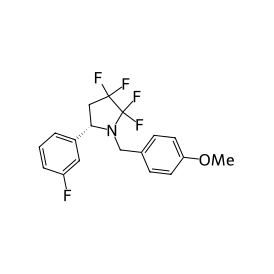 COc1ccc(CN2[C@H](c3cccc(F)c3)CC(F)(F)C2(F)F)cc1